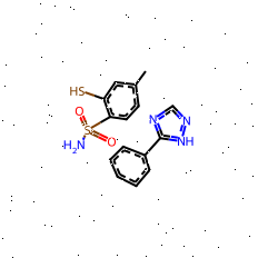 Cc1ccc(S(N)(=O)=O)c(S)c1.c1ccc(-c2ncn[nH]2)cc1